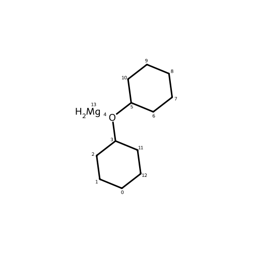 C1CCC(OC2CCCCC2)CC1.[MgH2]